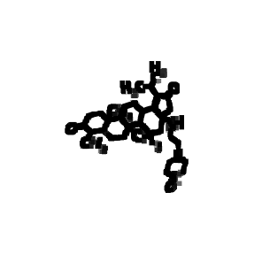 CC(C)C1=C2C3CCC4C5(C)CCC(=O)C(C)C5CCC4(C)C3CCC2(NCCN2CC[S+]([O-])CC2)CC1=O